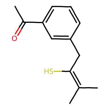 CC(=O)c1cccc(CC(S)=C(C)C)c1